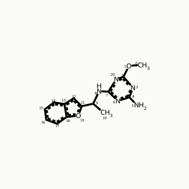 COc1nc(N)nc(NC(C)c2cc3ccccc3o2)n1